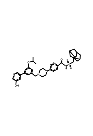 CC(C)Oc1cc(CN2CCN(c3ccc(C(=O)NS(=O)(=O)CC45CC6CC(CC(C6)C4)C5)nn3)CC2)cc(-c2cncc(O)c2)c1